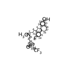 CN(CCCCCC1=C(c2ccc(F)cc2)CCCc2cc(O)ccc21)CCCCS(=O)(=O)CCC(F)(F)F